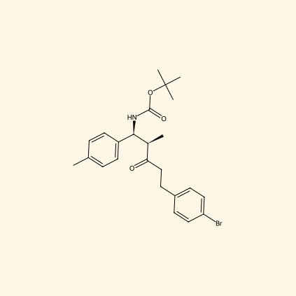 Cc1ccc([C@@H](NC(=O)OC(C)(C)C)[C@@H](C)C(=O)CCc2ccc(Br)cc2)cc1